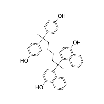 CC(CCCCC(C)(c1ccc(O)c2ccccc12)c1ccc(O)c2ccccc12)(c1ccc(O)cc1)c1ccc(O)cc1